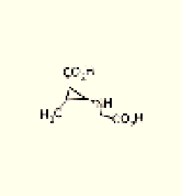 C[C@H]1[C@H](NCC(=O)O)[C@H]1C(=O)O